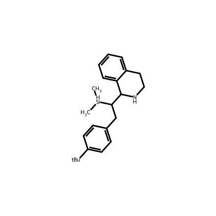 C[SiH](C)C(Cc1ccc(C(C)(C)C)cc1)C1NCCc2ccccc21